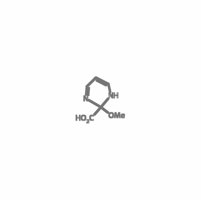 COC1(C(=O)O)N=CC=CN1